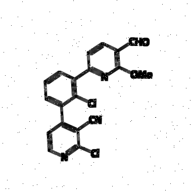 COc1nc(-c2cccc(-c3ccnc(Cl)c3C#N)c2Cl)ccc1C=O